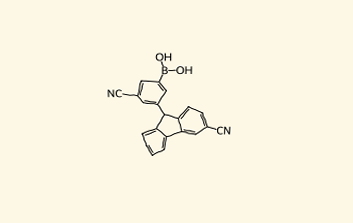 N#Cc1cc(B(O)O)cc(C2c3ccccc3-c3cc(C#N)ccc32)c1